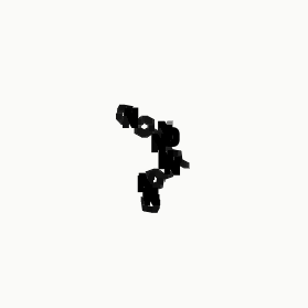 Cc1cc(-c2nc(-c3ccc(N4CCCC4)cc3)no2)nn1Cc1ccnc(N2CCCC2)c1